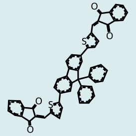 O=C1C(=Cc2ccc(-c3ccc4c(c3)C(c3ccccc3)(c3ccccc3)c3cc(-c5ccc(C=C6C(=O)c7ccccc7C6=O)s5)ccc3-4)s2)C(=O)c2ccccc21